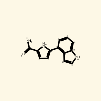 NC(=O)c1ccc(-c2cccc3[nH]ccc23)[nH]1